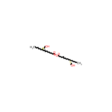 CCCCCCCC(CCCCCCCCCC(=O)OCOC(=O)CCCCCCCCCCC(CCCCCC)SCCO)SCCO